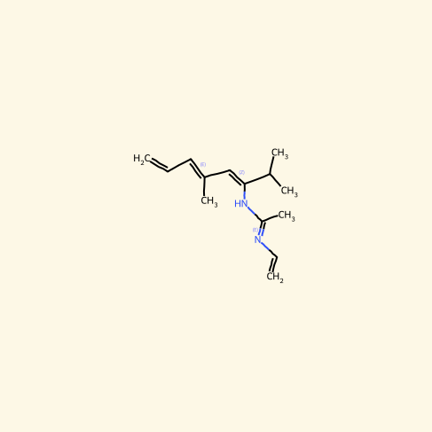 C=C/C=C(C)/C=C(\N/C(C)=N/C=C)C(C)C